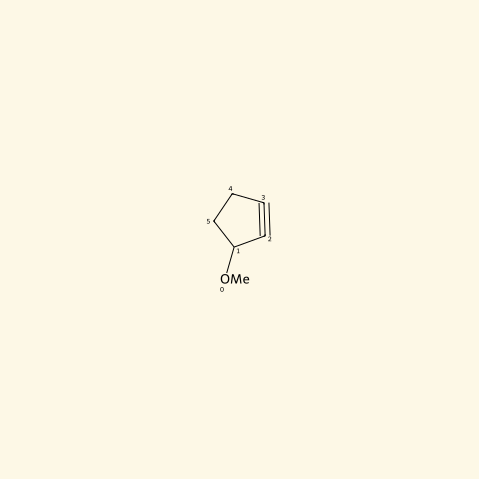 COC1C#CCC1